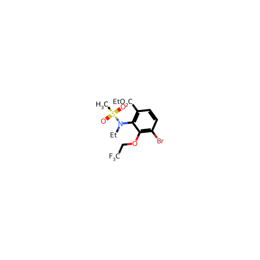 CCOC(=O)c1ccc(Br)c(OCC(F)(F)F)c1N(CC)S(C)(=O)=O